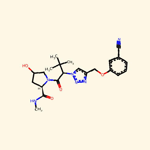 CNC(=O)[C@H]1CC(O)CN1C(=O)C(n1cc(COc2cccc(C#N)c2)nn1)C(C)(C)C